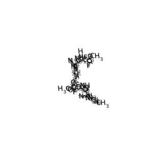 COc1ccc(F)c(Cc2c[nH]c3ncc(-c4cn(C5CCN(CCCOc6cc(OC)c(F)c(Cc7c[nH]c8ncc(-c9cn(C%10CCN(C)CC%10)nc9C#N)cc78)c6F)CC5)nc4C#N)cc23)c1F